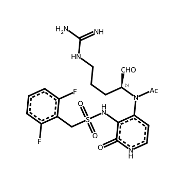 CC(=O)N(c1cc[nH]c(=O)c1NS(=O)(=O)Cc1c(F)cccc1F)[C@H](C=O)CCCNC(=N)N